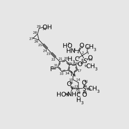 CCC(C)(C(=O)NO)S(C)(=O)=O.C[C@@](CCn1ccc2cc(C#CC#CC3CC3CO)c(F)cc21)(C(=O)NO)S(C)(=O)=O